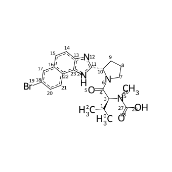 CC(C)[C@@H](C(=O)N1CCC[C@H]1c1nc2ccc3cc(Br)ccc3c2[nH]1)N(C)C(=O)O